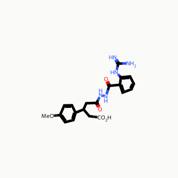 COc1ccc(C(CC(=O)O)CC(=O)NNC(=O)c2ccccc2NC(=N)N)cc1